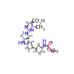 Cc1nc(N2CCc3[nH]c4ccc(-c5cccc(NC(=O)OC(C)(C)C)c5)cc4c3C2)ncc1C(=O)O